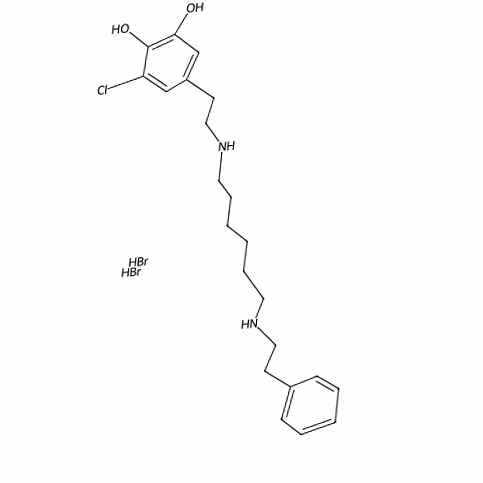 Br.Br.Oc1cc(CCNCCCCCCNCCc2ccccc2)cc(Cl)c1O